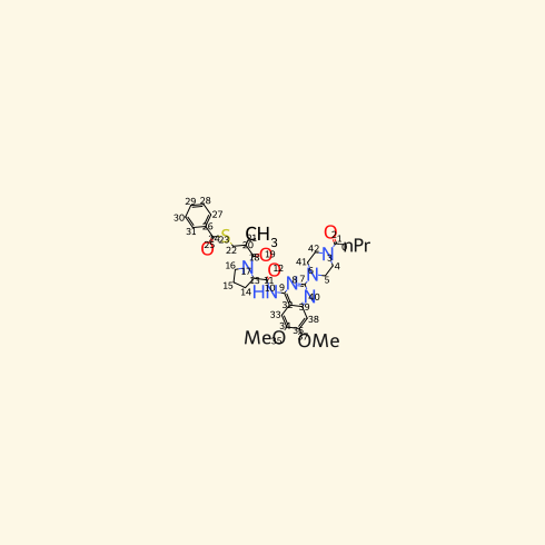 CCCC(=O)N1CCN(c2nc(NC(=O)C3CCCN3C(=O)C(C)CSC(=O)c3ccccc3)c3cc(OC)c(OC)cc3n2)CC1